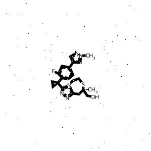 Cn1cc(-c2ccc(C3(c4nnc5n4CCS[C@@](C)(CO)C5)CC3)c(F)c2)cn1